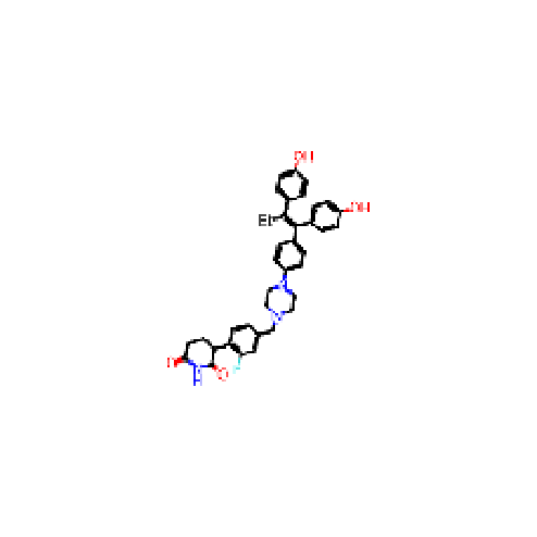 CCC(=C(c1ccc(O)cc1)c1ccc(N2CCN(Cc3ccc(C4CCC(=O)NC4=O)c(F)c3)CC2)cc1)c1ccc(O)cc1